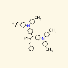 Cc1ccc(N(c2ccc(C)cc2)c2ccc(C(c3ccc(N(c4ccc(C)cc4)c4ccc(C)cc4)cc3)C(CCc3ccccc3)C(C)C)cc2)cc1